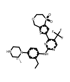 CCc1cc(N2CCNC[C@H]2C)ccc1Nc1ncc(C(F)(F)F)c(-c2cc3c(s2)COCCS3(=O)=O)n1